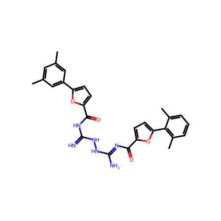 Cc1cc(C)cc(-c2ccc(C(=O)NC(=N)NNC(N)=NC(=O)c3ccc(-c4c(C)cccc4C)o3)o2)c1